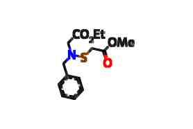 CCOC(=O)CN(Cc1ccccc1)SCC(=O)OC